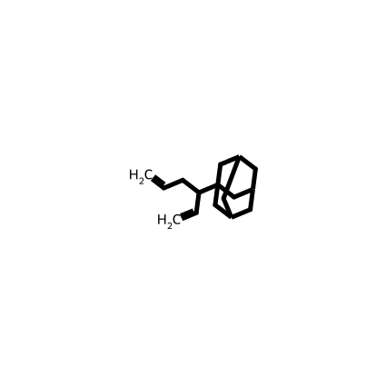 C=CC[C](C=C)C12CC3CC(CC(C3)C1)C2